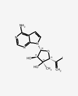 C=C(I)[C@H]1O[C@@H](n2ccc3c(N)ncnc32)[C@H](O)[C@]1(C)O